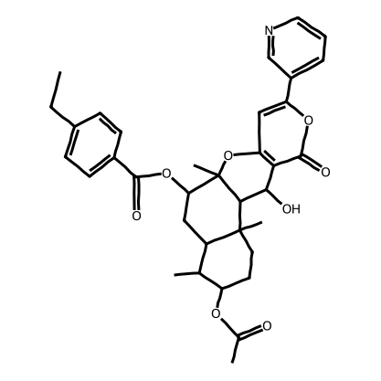 CCc1ccc(C(=O)OC2CC3C(C)C(OC(C)=O)CCC3(C)C3C(O)c4c(cc(-c5cccnc5)oc4=O)OC23C)cc1